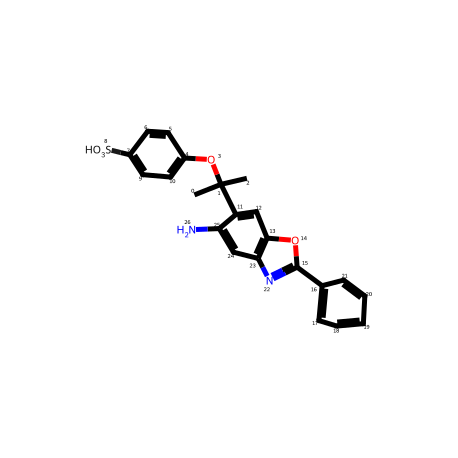 CC(C)(Oc1ccc(S(=O)(=O)O)cc1)c1cc2oc(-c3ccccc3)nc2cc1N